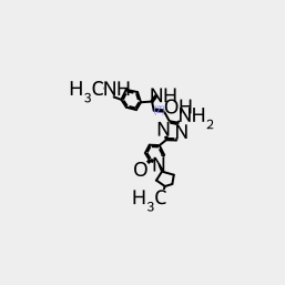 CNCc1ccc(C(=N)/C=C(\O)c2nc(-c3ccc(=O)n(C4CCC(C)C4)c3)cnc2N)cc1